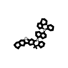 CC1(C)c2ccccc2N(c2cccc3c(N(c4ccccc4)c4cccc5ccccc45)cccc23)c2cc3oc4cc5ccccc5cc4c3cc21